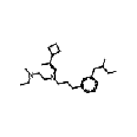 CCC(C)Cc1cccc(CCCN(/C=C(\C)C2CCC2)CCN(C)CC)c1